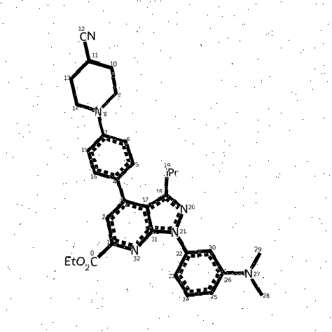 CCOC(=O)c1cc(-c2ccc(N3CCC(C#N)CC3)cc2)c2c(C(C)C)nn(-c3cccc(N(C)C)c3)c2n1